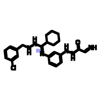 N=CC(=O)NNc1cccc(/N=C(/NNCc2cccc(Cl)c2)C2CCCCC2)c1